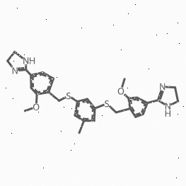 COc1cc(C2=NCCN2)ccc1CSc1cc(C)cc(SCc2ccc(C3=NCCN3)cc2OC)c1